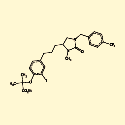 CCOC(=O)C(C)(C)Oc1ccc(CCCC2CN(Cc3ccc(C(F)(F)F)cc3)C(=O)N2C)cc1I